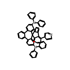 c1ccc(N(c2ccccc2)c2ccc3c(c2)C2(c4cc(N(c5ccccc5)c5ccccc5)ccc4-c4ccccc4-3)c3ccccc3-c3c(-c4ccncc4)cccc32)cc1